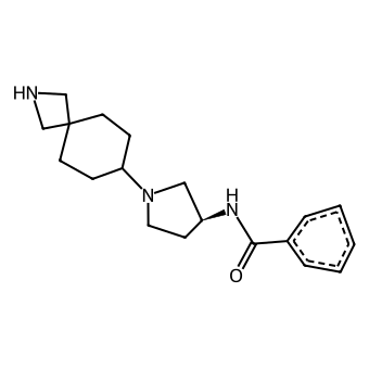 O=C(N[C@H]1CCN(C2CCC3(CC2)CNC3)C1)c1ccccc1